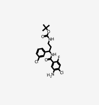 CC(C)(C)OC(=O)NCCC(NC(=O)c1cc(N)c(Cl)cc1F)c1cccc(Cl)c1